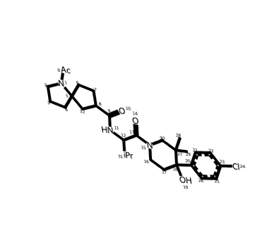 CC(=O)N1CCCC12CCC(C(=O)NC(C(=O)N1CCC(O)(c3ccc(Cl)cc3)C(C)(C)C1)C(C)C)C2